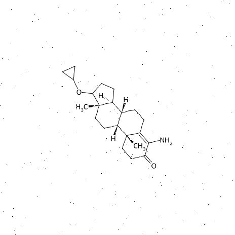 C[C@]12CCC(=O)C(N)=C1CC[C@@H]1[C@H]2CC[C@]2(C)C(OC3CC3)CC[C@@H]12